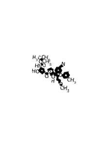 COCCCC[C@@](O)(c1ccc(C#N)cc1Oc1cccc(C)c1)[C@@H]1CCCN(C(=O)[C@@H]2C[C@H](O)[C@H](NC(=O)OC(C)(C)C)C2)C1